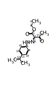 CCOC(=O)/C(=N\Nc1ccc(C(C)C)cc1)C(C)=O